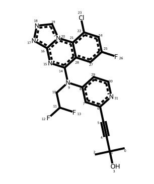 CC(C)(O)C#Cc1cc(N(CC(F)F)c2nc3nncn3c3c(Cl)cc(F)cc23)ccn1